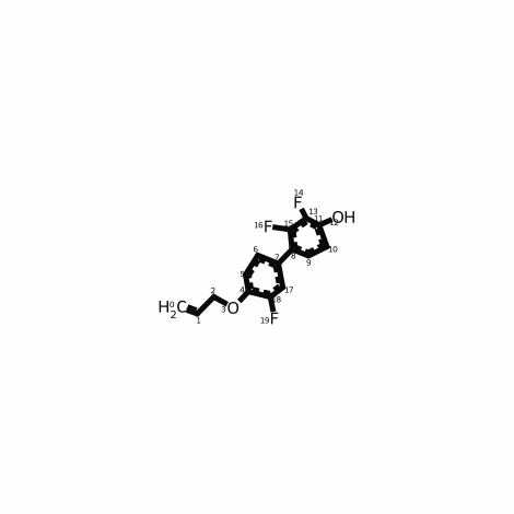 C=CCOc1ccc(-c2ccc(O)c(F)c2F)cc1F